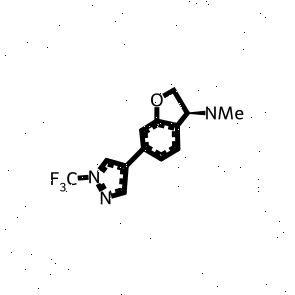 CN[C@@H]1COc2cc(-c3cnn(C(F)(F)F)c3)ccc21